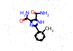 Cc1ccccc1-c1nc(C(N)=O)c(C(N)=O)[nH]1